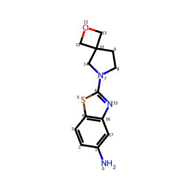 Nc1ccc2sc(N3CCC4(COC4)C3)nc2c1